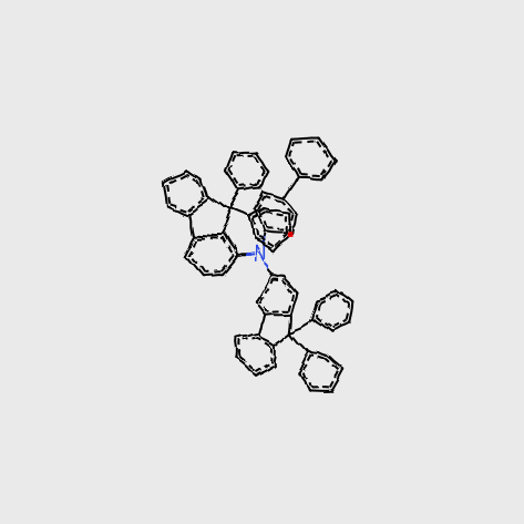 c1ccc(-c2ccc(N(c3ccc4c(c3)-c3ccccc3C4(c3ccccc3)c3ccccc3)c3cccc4c3C(c3ccccc3)(c3ccccc3)c3ccccc3-4)cc2)cc1